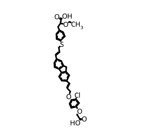 CCOC(Cc1ccc(SCC=Cc2ccc3c(c2)Cc2cc(C=CCOc4ccc(OCC(=O)O)cc4Cl)ccc2-3)cc1)C(=O)O